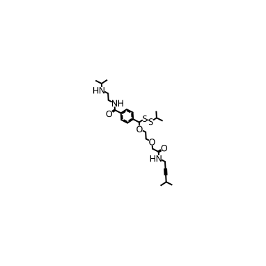 CC(C)C#CCNC(=O)COCCOC(SSC(C)C)c1ccc(C(=O)NCCNC(C)C)cc1